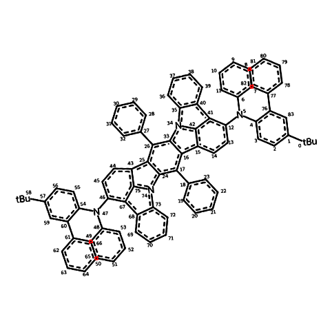 CC(C)(C)c1ccc(N(c2ccccc2)c2ccc3c4c(-c5ccccc5)c5c(c(-c6ccccc6)c4n4c6ccccc6c2c34)c2ccc(N(c3ccccc3)c3ccc(C(C)(C)C)cc3-c3ccccc3)c3c4ccccc4n5c23)c(-c2ccccc2)c1